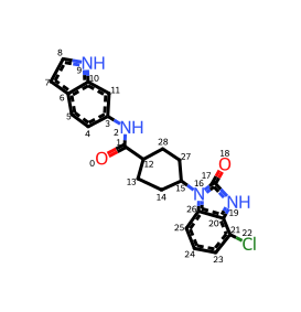 O=C(Nc1ccc2cc[nH]c2c1)C1CCC(n2c(=O)[nH]c3c(Cl)cccc32)CC1